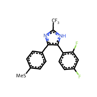 CSc1ccc(-c2nc(C(F)(F)F)[nH]c2-c2ccc(F)cc2F)cc1